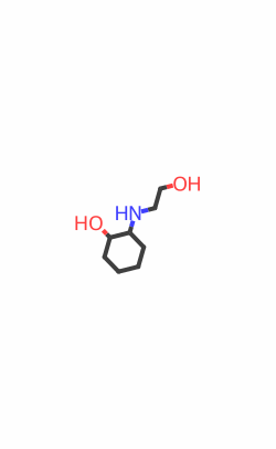 OCCNC1CCCCC1O